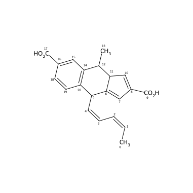 C/C=C\C=C/C1C2=CC(C(=O)O)=CC2C(C)c2cc(C(=O)O)ccc21